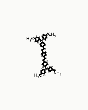 CCc1ccc(N(c2ccc(C)cc2)c2ccc(C=Cc3ccc(C=Cc4ccc(N(c5ccc(C)cc5)c5ccc(CC)cc5)cc4)cc3)cc2)cc1